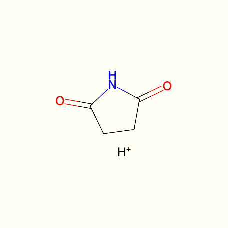 O=C1CCC(=O)N1.[H+]